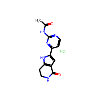 CC(=O)Nc1nccc(-c2cc3c([nH]2)CCNC3=O)n1.Cl